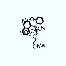 COCCOC[C@@](C#N)(C(=O)O)[C@@H](c1ccccc1OC)c1cccc2ccccc12